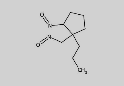 CCCC1(CN=O)CCCC1N=O